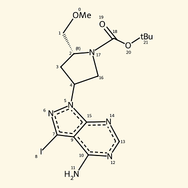 COC[C@H]1CC(n2nc(I)c3c(N)ncnc32)CN1C(=O)OC(C)(C)C